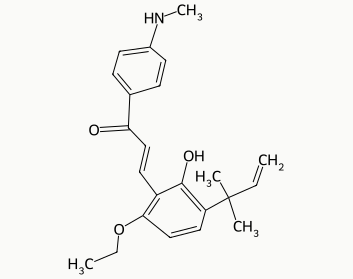 C=CC(C)(C)c1ccc(OCC)c(C=CC(=O)c2ccc(NC)cc2)c1O